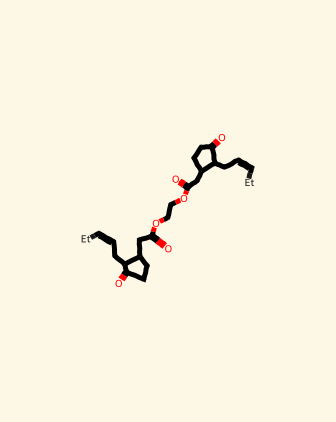 CC/C=C\CC1C(=O)CCC1CC(=O)OCCOC(=O)CC1CCC(=O)C1C/C=C\CC